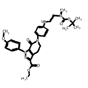 CCOC(=O)c1nn(-c2ccc(OC)cc2)c2c1CCN(c1ccc(NCCN(C)C(=O)OC(C)(C)C)cc1)C2=O